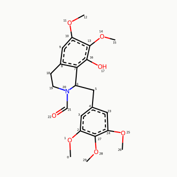 COc1cc(CC2c3c(cc(OC)c(OC)c3O)CCN2C=O)cc(OC)c1OC